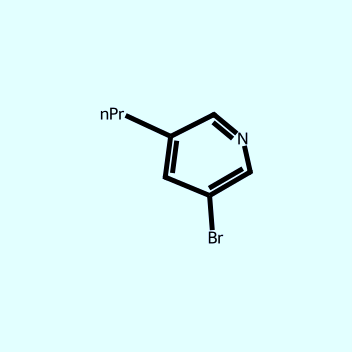 CCCc1cncc(Br)c1